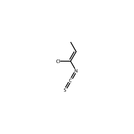 CC=C(Cl)N=C=S